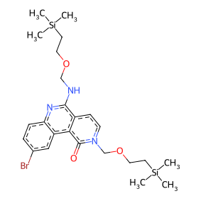 C[Si](C)(C)CCOCNc1nc2ccc(Br)cc2c2c(=O)n(COCC[Si](C)(C)C)ccc12